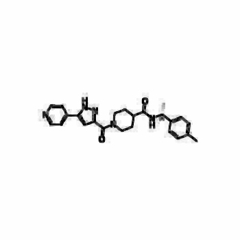 Cc1ccc([C@@H](C)NC(=O)C2CCN(C(=O)c3cc(-c4ccncc4)[nH]n3)CC2)cc1